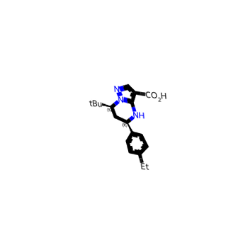 CCc1ccc([C@H]2C[C@@H](C(C)(C)C)n3ncc(C(=O)O)c3N2)cc1